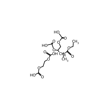 CC(COC(=O)O)OC(=O)O.CCOC(=O)OC.O=C(O)OCCOC(=O)O